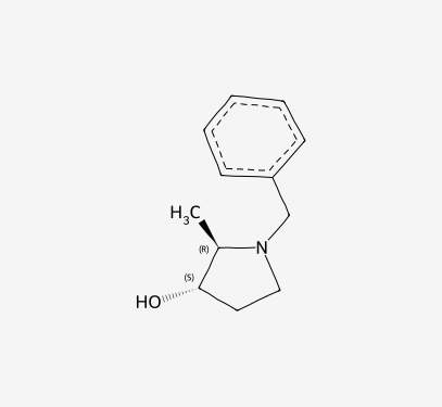 C[C@@H]1[C@@H](O)CCN1Cc1ccccc1